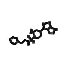 O=S(=O)(NCCc1ccccc1)N1CCN(c2ncnc3[nH]ccc23)CC12CC2